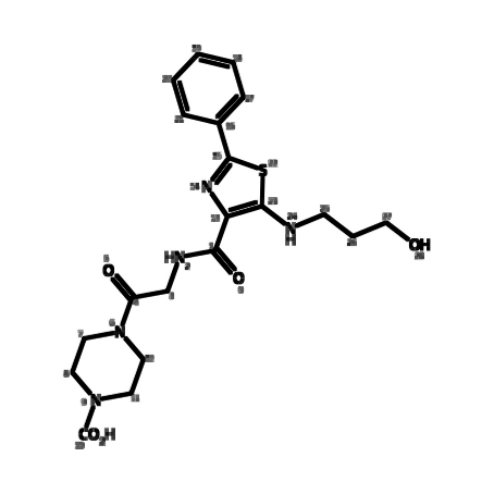 O=C(NCC(=O)N1CCN(C(=O)O)CC1)c1nc(-c2ccccc2)sc1NCCCO